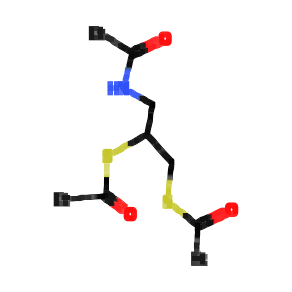 CCC(=O)NCC(CSC(=O)CC)SC(=O)CC